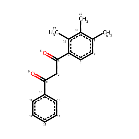 Cc1ccc(C(=O)CC(=O)c2ccccc2)c(C)c1C